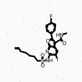 C=CCCCCCS(=O)(=O)Nc1nc2oc(-c3ccc(F)cc3)c(C(=O)NC)c2cc1I